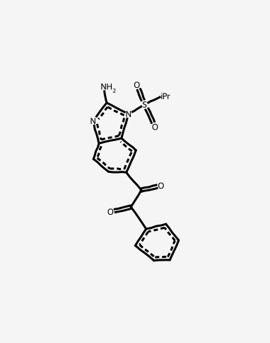 CC(C)S(=O)(=O)n1c(N)nc2ccc(C(=O)C(=O)c3ccccc3)cc21